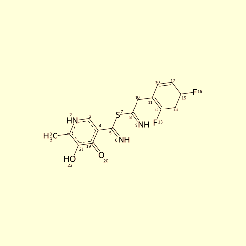 Cc1[nH]cc(C(=N)SC(=N)CC2=C(F)CC(F)C=C2)c(=O)c1O